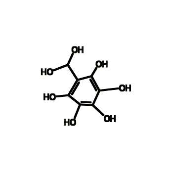 Oc1c(O)c(O)c(C(O)O)c(O)c1O